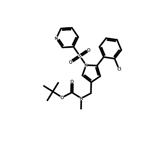 CN(Cc1cc(-c2ccccc2Cl)n(S(=O)(=O)c2cccnc2)c1)C(=O)OC(C)(C)C